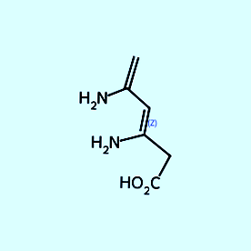 C=C(N)/C=C(\N)CC(=O)O